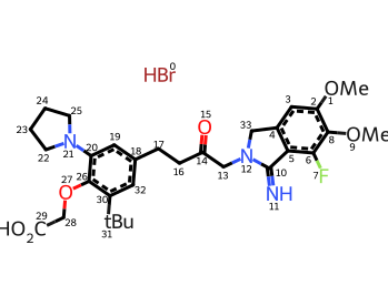 Br.COc1cc2c(c(F)c1OC)C(=N)N(CC(=O)CCc1cc(N3CCCC3)c(OCC(=O)O)c(C(C)(C)C)c1)C2